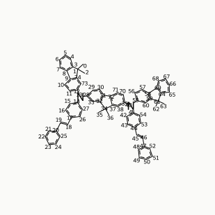 CC1(C)c2ccccc2-c2ccc(N(c3ccc(/C=C/c4ccccc4)cc3)c3ccc4c(c3)C(C)(C)c3cc(N(c5ccc(/C=C/c6ccccc6)cc5)c5ccc6c(c5)C(C)(C)c5ccccc5-6)ccc3-4)cc21